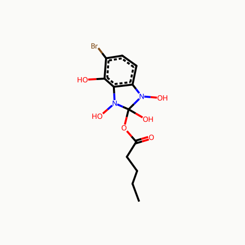 CCCCC(=O)OC1(O)N(O)c2ccc(Br)c(O)c2N1O